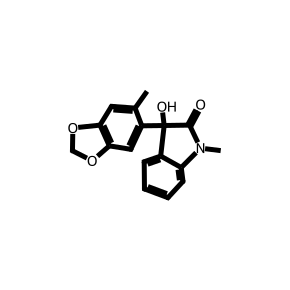 Cc1cc2c(cc1C1(O)C(=O)N(C)c3ccccc31)OCO2